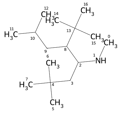 CNC(CC(C)(C)C)C(CC(C)C)C(C)(C)C